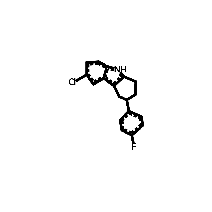 Fc1ccc(C2CCc3[nH]c4ccc(Cl)cc4c3C2)cc1